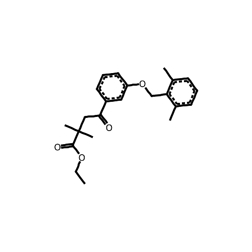 CCOC(=O)C(C)(C)CC(=O)c1cccc(OCc2c(C)cccc2C)c1